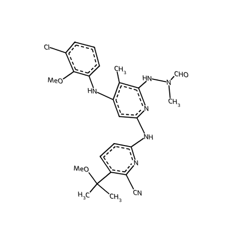 COc1c(Cl)cccc1Nc1cc(Nc2ccc(C(C)(C)OC)c(C#N)n2)nc(NN(C)C=O)c1C